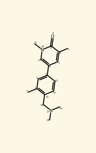 Cc1cc(-c2cc(C)c(=O)n(C)c2)ccc1CN(C)C